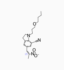 CCCCOCCCN1CCc2cc(/C=C(/C)[N+](=O)[O-])cc(C#N)c21